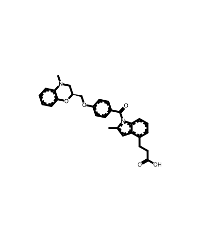 Cc1cc2c(CCC(=O)O)cccc2n1C(=O)c1ccc(OC[C@@H]2CN(C)c3ccccc3O2)cc1